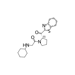 O=C(c1nc2ccccc2s1)[C@@H]1CCCN1C(=O)CNC1CCCCC1